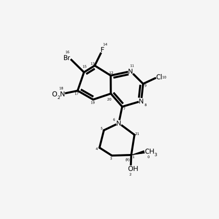 C[C@@]1(O)CCCN(c2nc(Cl)nc3c(F)c(Br)c([N+](=O)[O-])cc23)C1